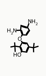 CC(C)(C)c1cc(O)c(C(C)(C)C)c(Oc2ccc(N)cc2N)c1